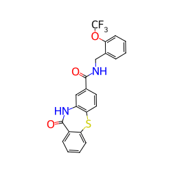 O=C(NCc1ccccc1OC(F)(F)F)c1ccc2c(c1)NC(=O)c1ccccc1S2